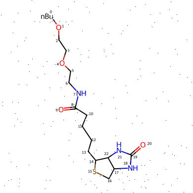 CCCCOCCOCCNC(=O)CCCCC1SCC2NC(=O)NC21